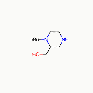 CCCCN1CCNCC1CO